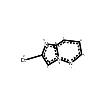 CCc1cn2ncccc2n1